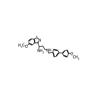 COc1ccc(-c2ccc(CNCCC(N)c3nsc4ccc(OC)cc34)cc2)cc1